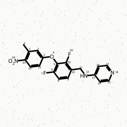 Cc1cc(Oc2c(F)ccc(CNc3ccncc3)c2F)ccc1[N+](=O)[O-]